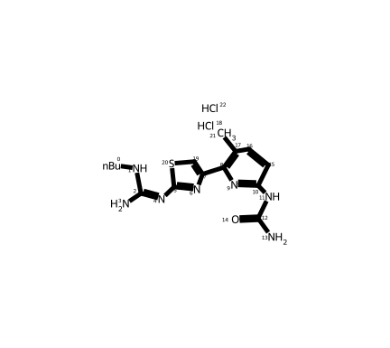 CCCCNC(N)=Nc1nc(-c2nc(NC(N)=O)ccc2C)cs1.Cl.Cl